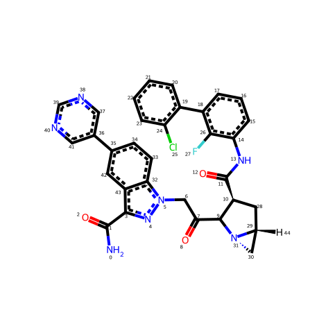 NC(=O)c1nn(CC(=O)C2[C@@H](C(=O)Nc3cccc(-c4ccccc4Cl)c3F)C[C@@H]3C[N@]23)c2ccc(-c3cncnc3)cc12